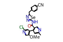 COc1cnc(Cl)cc1-c1cc(C)ncc1C(=O)Nc1nnc(Cc2ccc(C#N)cc2)[se]1